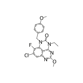 CCN1C(=O)N(Cc2ccc(OC)cc2)c2c(F)c(Cl)cc3nc(OC)nc1c23